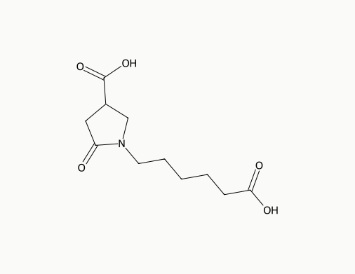 O=C(O)CCCCCN1CC(C(=O)O)CC1=O